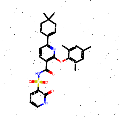 Cc1cc(C)c(Oc2nc(C3=CCC(C)(C)CC3)ccc2C(=O)NS(=O)(=O)c2ccc[nH]c2=O)c(C)c1